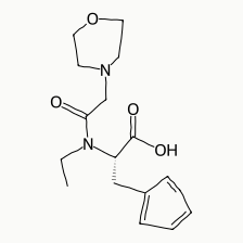 CCN(C(=O)CN1CCOCC1)[C@@H](Cc1ccccc1)C(=O)O